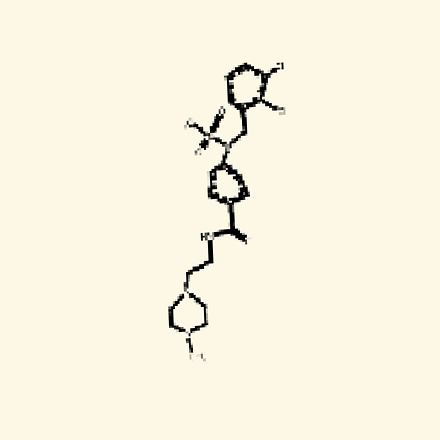 CN1CCN(CCNC(=O)c2ccc(N(Cc3cccc(Cl)c3Cl)S(C)(=O)=O)cc2)CC1